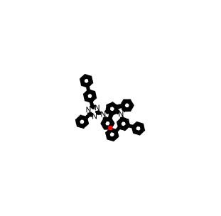 c1ccc(-c2ccc(-c3nc(-c4ccccc4)nc(-n4c5ccccc5c5c4ccc4c6ccccc6n(-c6cc(-c7ccccc7)cc(-c7ccccc7)c6)c45)n3)cc2)cc1